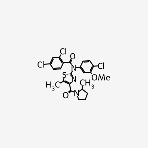 COc1cc(N(C(=O)c2ccc(Cl)cc2Cl)c2nc(C(=O)N3CCCC3C)c(C)s2)ccc1Cl